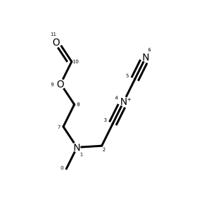 CN(CC#[N+]C#N)CCOC=O